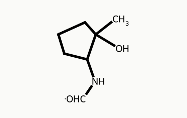 CC1(O)CCCC1N[C]=O